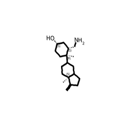 C=C1CCC2CC([C@@]3(C)CC[C@H](O)C[C@@H]3CN)CC[C@]12C